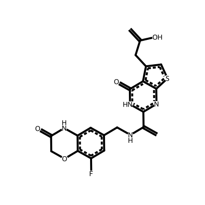 C=C(O)Cc1csc2nc(C(=C)NCc3cc(F)c4c(c3)NC(=O)CO4)[nH]c(=O)c12